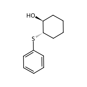 O[C@H]1CCCC[C@@H]1Sc1ccccc1